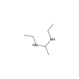 [CH2]C(NCC)NCC